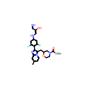 COC(=O)N1CCOC(Cc2c(-c3c(F)cc(N/C=C(/O)C=N)cc3F)nc3cc(C)ccn23)C1